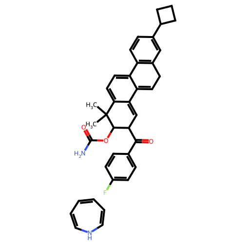 C1=CC=CNC=C1.CC1(C)c2ccc3c(c2=CC(C(=O)c2ccc(F)cc2)C1OC(N)=O)=CCc1cc(C2CCC2)ccc1-3